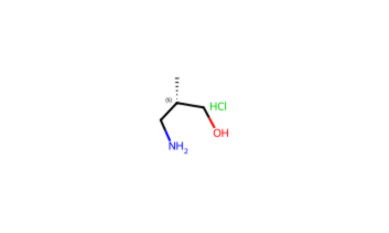 C[C@@H](CN)CO.Cl